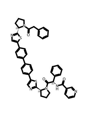 O=C(N[C@H](C(=O)N1CCC[C@H]1c1ncc(-c2ccc(-c3ccc(-c4cnc([C@@H]5CCCN5C(=O)Cc5ccccc5)s4)cc3)cc2)s1)c1ccccc1)c1cccnc1